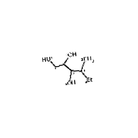 CCC(C)C(O)C(O)CO